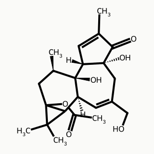 CC(=O)OC12C[C@@H](C)[C@@]3(O)[C@@H](C=C(CO)C[C@]4(O)C(=O)C(C)=C[C@@H]34)C1C2(C)C